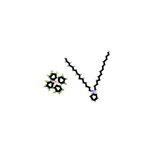 CCCCCCCCCCCCCCCC[NH+](CCCCCCCCCCCCCCCC)c1ccccc1.Fc1cc([B-](c2cc(F)c(F)c(F)c2F)(c2cc(F)c(F)c(F)c2F)c2cc(F)c(F)c(F)c2F)c(F)c(F)c1F